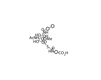 COC(=O)[C@@]1(OCCCSCCC(=O)Nc2ccc(C(=O)O)cc2)C[C@@H](O)[C@@H](NC(C)=O)C([C@H](O)[C@H](O)CNC(=O)c2ccc(-c3ccccc3)cc2)O1